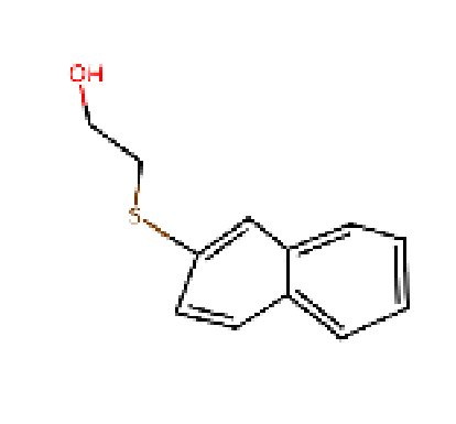 OCCSc1ccc2ccccc2c1